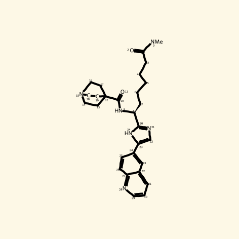 CNC(=O)CCCCC[C@H](NC(=O)C12CCN(CC1)CC2)c1ncc(-c2ccc3ncccc3c2)[nH]1